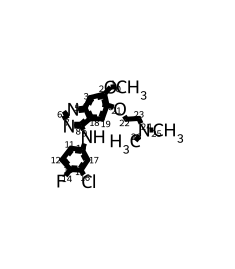 COc1cc2ncnc(Nc3ccc(F)c(Cl)c3)c2cc1OCCN(C)C